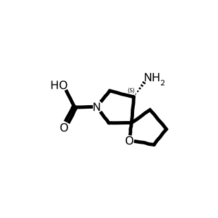 N[C@H]1CN(C(=O)O)CC12CCCO2